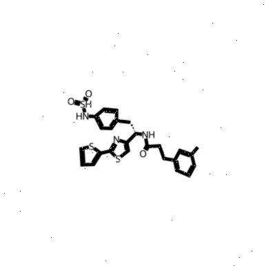 Cc1cccc(CCC(=O)N[C@@H](Cc2ccc(N[SH](=O)=O)cc2)c2csc(-c3cccs3)n2)c1